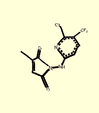 CC1=CC(=O)N(Nc2ccc(C(F)(F)F)c(Cl)n2)C1=O